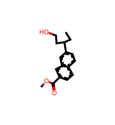 CCC(CCO)c1ccc2ccc(C(=O)OC)cc2c1